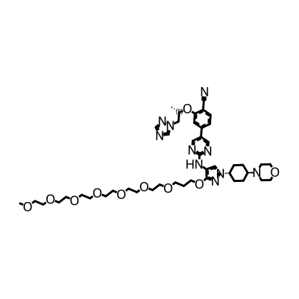 COCCOCCOCCOCCOCCOCCOCCCOc1nn([C@H]2CC[C@H](N3CCOCC3)CC2)cc1Nc1ncc(-c2ccc(C#N)c(O[C@@H](C)Cn3cncn3)c2)cn1